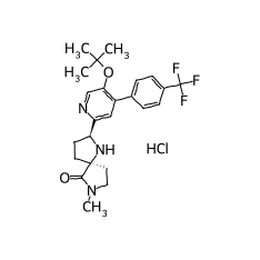 CN1CC[C@@]2(CC[C@@H](c3cc(-c4ccc(C(F)(F)F)cc4)c(OC(C)(C)C)cn3)N2)C1=O.Cl